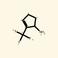 NC1CCC=C1C(F)(F)F